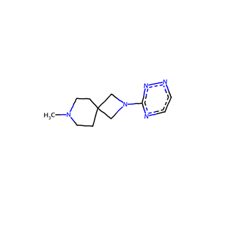 CN1CCC2(CC1)CN(c1nccnn1)C2